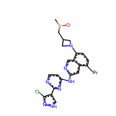 CC(C)c1ccc(N2CC(C[S+](C)[O-])C2)c2cnc(Nc3ccnc(-c4c[nH]nc4Cl)n3)cc12